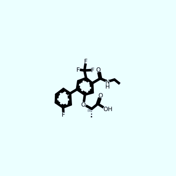 CCNC(=O)c1cc(O[C@@H](C)C(=O)O)c(-c2cccc(F)c2)cc1C(F)(F)F